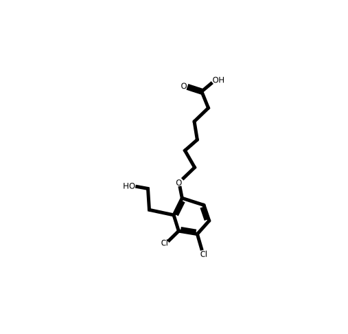 O=C(O)CCCCCOc1ccc(Cl)c(Cl)c1CCO